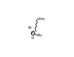 CCCCCCCCCCCCCCCC[n+]1cc[nH]c1CCCC.[Br-]